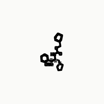 CO[C@H](c1ccccc1)[C@@H](CN1CCCC1)NC(=O)OCc1ccccc1